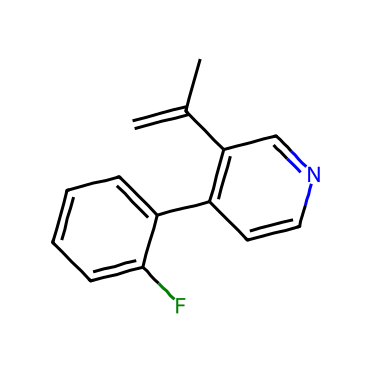 C=C(C)c1cnccc1-c1ccccc1F